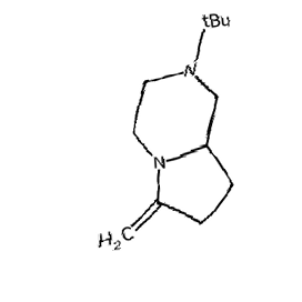 C=C1CCC2CN(C(C)(C)C)CCN12